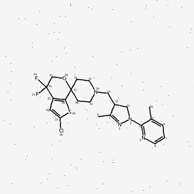 CC1=NN(c2ncccc2C)CC1CN1CCC2(CC1)OCC(F)(F)c1cc(Cl)sc12